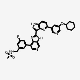 CS(=O)(=O)NCc1cc(F)cc(-c2cncc3[nH]c(-c4n[nH]c5ccc(-c6cncc(OC7CCCCC7)c6)nc45)nc23)c1